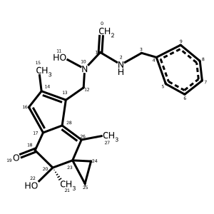 C=C(NCc1ccccc1)N(O)CC1=C(C)C=C2C(=O)[C@](C)(O)C3(CC3)C(C)=C21